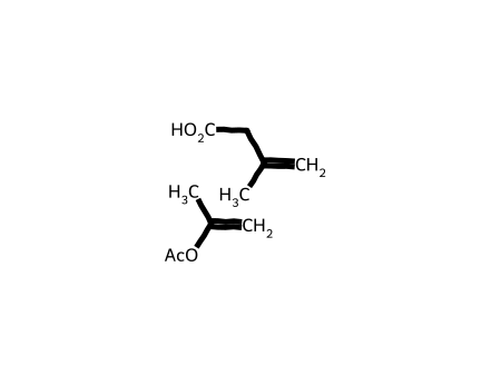 C=C(C)CC(=O)O.C=C(C)OC(C)=O